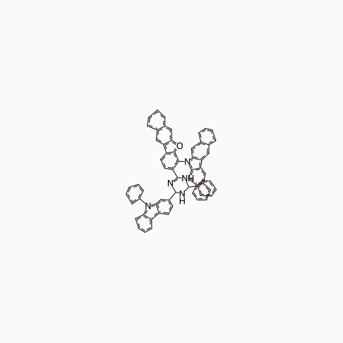 c1ccc(C2NC(c3ccc4c(oc5cc6ccccc6cc54)c3-n3c4cc5ccccc5cc4c4cc5ccccc5cc43)=NC(c3ccc4c5ccccc5n(-c5ccccc5)c4c3)N2)cc1